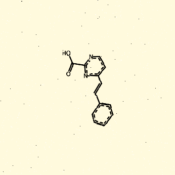 O=C(O)c1nccc(/C=C/c2ccccc2)n1